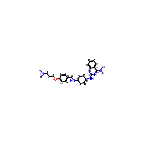 CN(C)CCCOc1ccc(CNC2CCC(Nc3nc(N(C)C)c4ccccc4n3)CC2)cc1